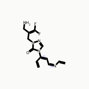 C=C/N=C\C=C(/C=C)n1cnn(CC(CN)=C(F)F)c1=O